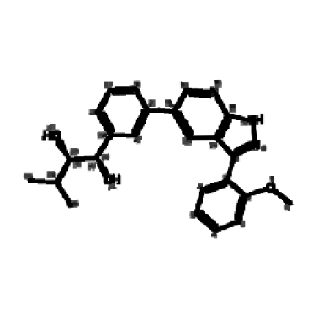 COc1ccccc1-c1n[nH]c2ncc(-c3cccc([C@@H](O)[C@H](O)C(C)C)c3)cc12